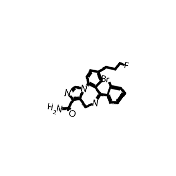 NC(=O)c1ncn2c1CN=C(c1ccccc1Br)c1cc(CCCF)ccc1-2